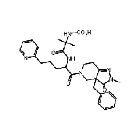 CN1N=C2CCN(C(=O)C(CCCc3ccccn3)NC(=O)C(C)(C)NC(=O)O)CC2(Cc2ccccc2)C1=O